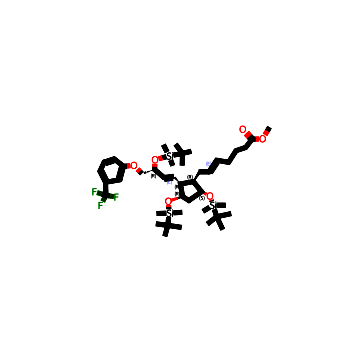 COC(=O)CCC/C=C/C[C@@H]1[C@@H](/C=C/[C@H](COc2cccc(C(F)(F)F)c2)O[Si](C)(C)C(C)(C)C)[C@H](O[Si](C)(C)C(C)(C)C)C[C@@H]1O[Si](C)(C)C(C)(C)C